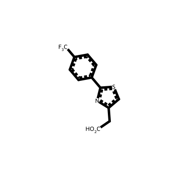 O=C(O)Cc1csc(-c2ccc(C(F)(F)F)cc2)n1